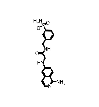 Nc1nccc2cc(NCC(=O)NCc3cccc(S(N)(=O)=O)c3)ccc12